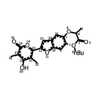 CCCCOC(=O)C(C)Oc1ccc2oc(-c3oc(=O)c(C)c(O)c3C)cc2c1